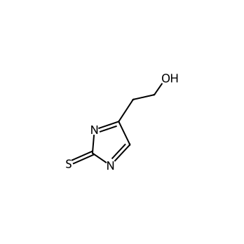 OCCC1=NC(=S)N=C1